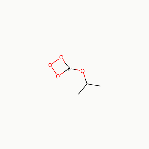 CC(C)OB1OOO1